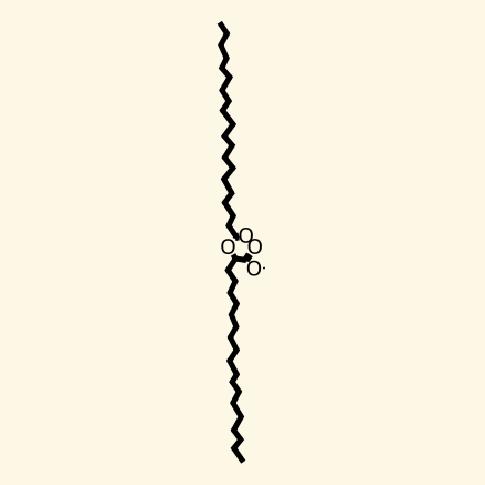 CCCCCCCCCCCCCCCCCCCC(=O)OC(CCCCCCCCCCCCCCCCCC)C([O])=O